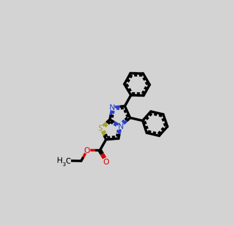 CCOC(=O)c1cn2c(-c3ccccc3)c(-c3ccccc3)nc2s1